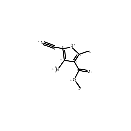 COC(=O)c1c(C)[nH]c(C#N)c1N